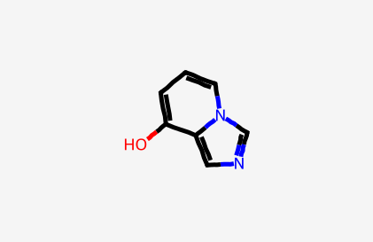 Oc1cccn2cncc12